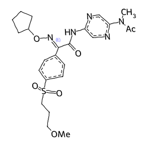 COCCCS(=O)(=O)c1ccc(/C(=N\OC2CCCC2)C(=O)Nc2cnc(N(C)C(C)=O)cn2)cc1